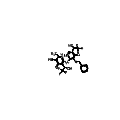 Cc1[nH]cc(C(O)C(F)(F)F)c(=O)c1O.Cc1[nH]cc(C(O)C(F)(F)F)c(=O)c1OCc1ccccc1